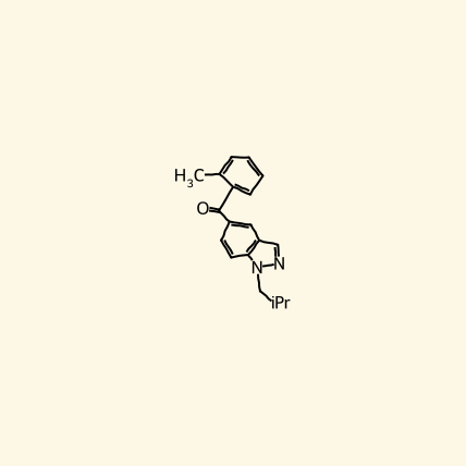 Cc1ccccc1C(=O)c1ccc2c(cnn2CC(C)C)c1